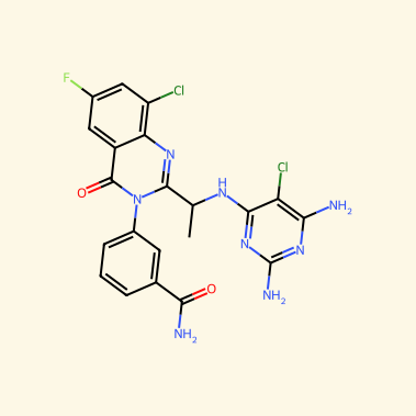 CC(Nc1nc(N)nc(N)c1Cl)c1nc2c(Cl)cc(F)cc2c(=O)n1-c1cccc(C(N)=O)c1